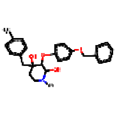 CCCN1CCC(O)(Cc2ccc(C)cc2)C(Oc2ccc(OCc3ccccc3)cc2)C1O